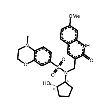 COc1ccc2cc(CN([C@H]3CCC[C@@H]3O)S(=O)(=O)c3ccc4c(c3)OCCN4C)c(=O)[nH]c2c1